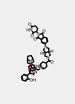 Nc1nnc(-c2ccccc2O)cc1N1CC2CCC(C1)N2c1cccc(CN2CCC(C(=O)N3C[C@@H]4CN(c5ccc6c(c5)C(=O)N(C5CCC(=O)NC5=O)C6=O)C[C@@H]4C3)CC2)c1